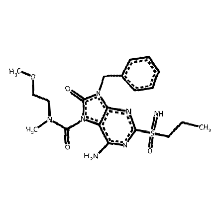 CCCS(=N)(=O)c1nc(N)c2c(n1)n(Cc1ccccc1)c(=O)n2C(=O)N(C)CCOC